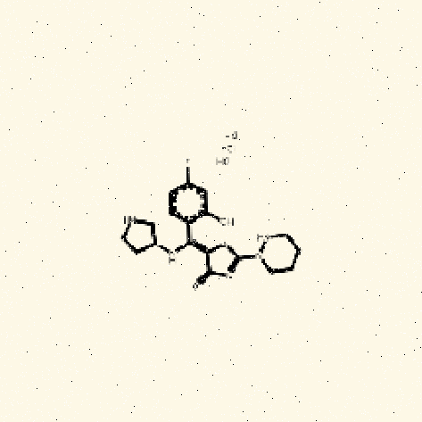 Cl.Cl.Cl.O=C1N=C(N2CCCCN2)SC1=C(N[C@H]1CCNC1)c1ccc(F)cc1O